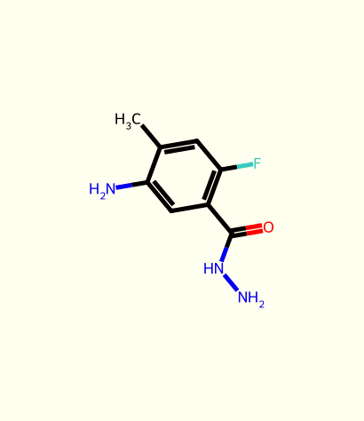 Cc1cc(F)c(C(=O)NN)cc1N